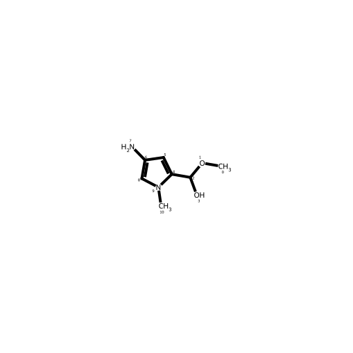 COC(O)c1cc(N)cn1C